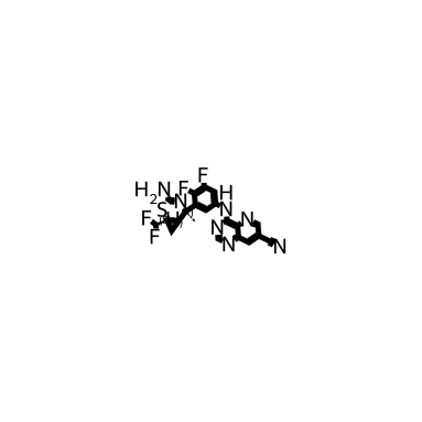 C[C@@]1(c2cc(Nc3ncnc4cc(C#N)cnc34)cc(F)c2F)N=C(N)S[C@@]2(C(F)F)C[C@@H]12